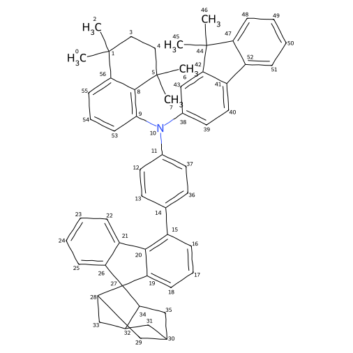 CC1(C)CCC(C)(C)c2c(N(c3ccc(-c4cccc5c4-c4ccccc4C54C5CC6CC(C5)C4C6)cc3)c3ccc4c(c3)C(C)(C)c3ccccc3-4)cccc21